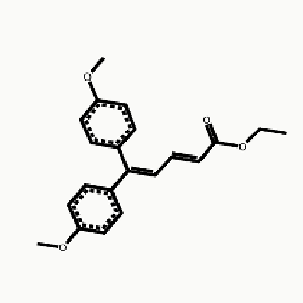 CCOC(=O)C=CC=C(c1ccc(OC)cc1)c1ccc(OC)cc1